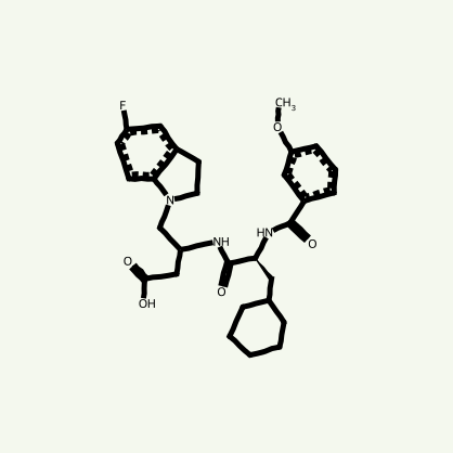 COc1cccc(C(=O)N[C@@H](CC2CCCCC2)C(=O)NC(CC(=O)O)CN2CCc3cc(F)ccc32)c1